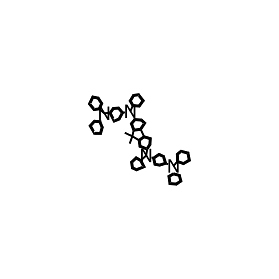 CC1(C)c2cc(N(c3ccccc3)c3ccc(N(c4ccccc4)c4ccccc4)cc3)ccc2-c2ccc(N(c3ccccc3)c3ccc(N(c4ccccc4)c4ccccc4)cc3)cc21